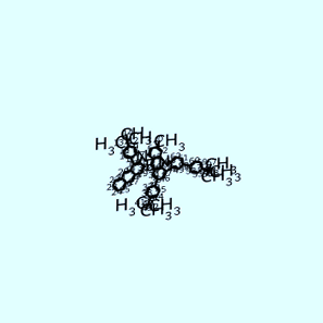 Cc1cc2c3c(c1)-n1c4cc(C(C)(C)C)ccc4c4c5cc6ccccc6cc5cc(c41)B3c1cc(-c3ccc(C(C)(C)C)cc3)cc3c4cc(-c5ccc(C(C)(C)C)cc5)ccc4n-2c13